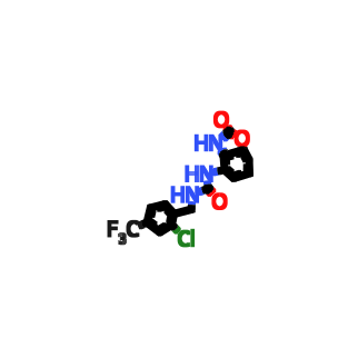 O=C(NCc1ccc(C(F)(F)F)cc1Cl)Nc1cccc2oc(=O)[nH]c12